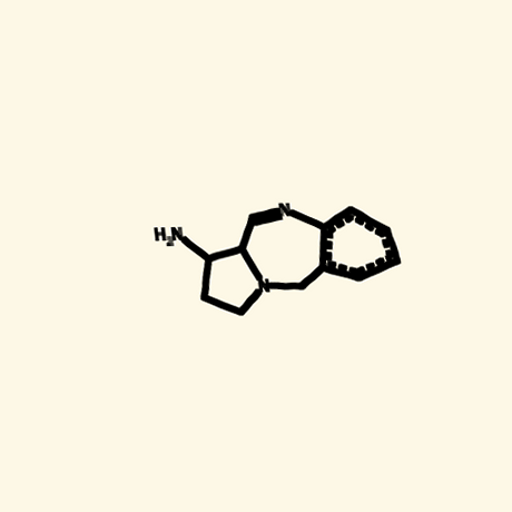 NC1CCN2Cc3ccccc3N=CC12